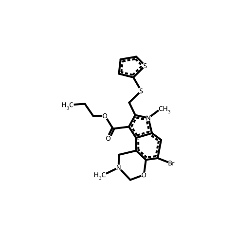 CCCOC(=O)c1c(CSc2cccs2)n(C)c2cc(Br)c3c(c12)CN(C)CO3